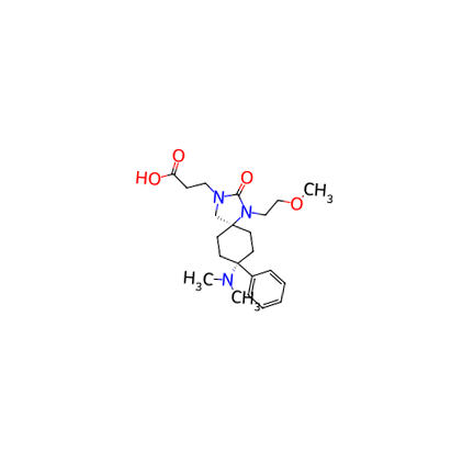 COCCN1C(=O)N(CCC(=O)O)C[C@]12CC[C@@](c1ccccc1)(N(C)C)CC2